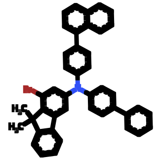 CC1(C)c2ccccc2-c2cc(N(c3ccc(-c4ccccc4)cc3)c3ccc(-c4cccc5ccccc45)cc3)cc(Br)c21